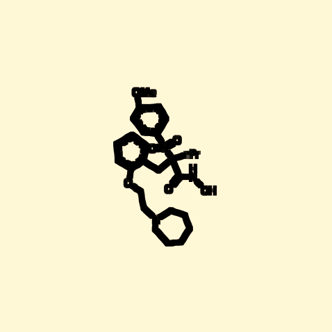 CCCC(Cc1ccccc1OCCN1CCCCCC1)(C(=O)NO)S(=O)(=O)c1ccc(OC)cc1